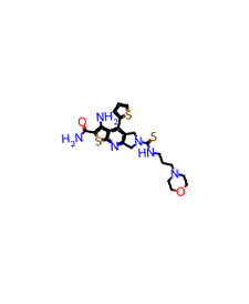 NC(=O)c1sc2nc3c(c(-c4cccs4)c2c1N)CN(C(=S)NCCCN1CCOCC1)C3